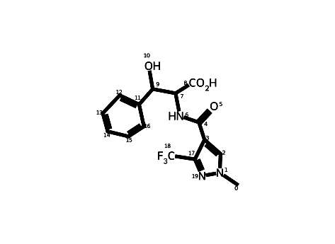 Cn1cc(C(=O)NC(C(=O)O)C(O)c2ccccc2)c(C(F)(F)F)n1